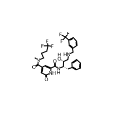 CN(CCCC(F)(F)F)C(=O)c1cc(C(=O)N[C@@H](Cc2ccccc2)[C@H](O)CNCc2cccc(C(F)(F)F)c2)[nH]c(=O)c1